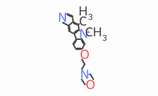 Cc1c2ccncc2cc2c3ccc(OCCCN4CCOCC4)cc3n(C)c12